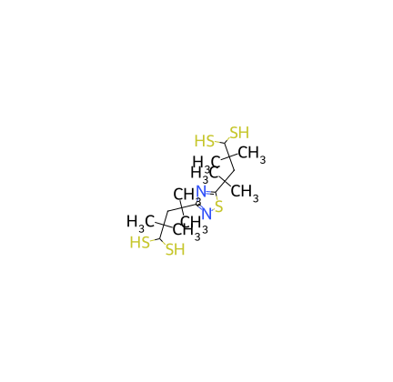 CC(C)(CC(C)(C)C(S)S)c1nsc(C(C)(C)CC(C)(C)C(S)S)n1